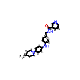 O=C(NCc1ccc(Nc2ccc(N3CCC(C(F)(F)F)CC3)cc2)cc1)c1cccnc1